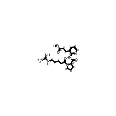 N=C(N)NCCCCC(=O)N1CCCC1C(=O)Nc1ncccc1CCC(=O)O